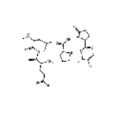 CN[C@@H](CC(C)C)C(=O)OC(=O)C(N)CCC(N)=O.C[C@H](OC(=O)[C@@H]1CCC(=O)N1)C(=O)O.O=C(O)[C@@H]1CCCN1